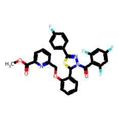 COC(=O)c1cccc(COc2ccccc2C2SC(c3ccc(F)cc3)=NN2C(=O)c2c(F)cc(F)cc2F)n1